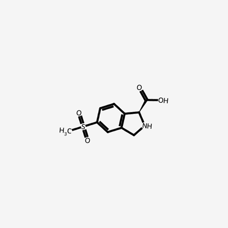 CS(=O)(=O)c1ccc2c(c1)CN[C@@H]2C(=O)O